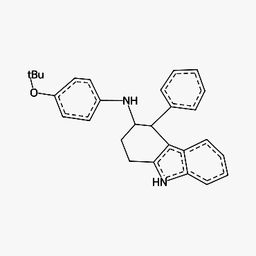 CC(C)(C)Oc1ccc(NC2CCc3[nH]c4ccccc4c3C2c2ccccc2)cc1